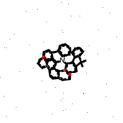 CC1(C)c2ccccc2-c2c(N(c3ccccc3-c3ccccc3)c3cc4ccccc4c4ccc5ccccc5c34)cccc21